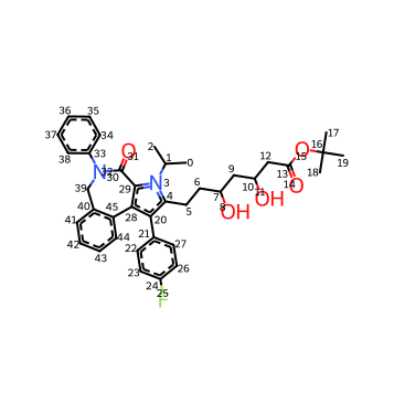 CC(C)n1c(CCC(O)CC(O)CC(=O)OC(C)(C)C)c(-c2ccc(F)cc2)c2c1C(=O)N(c1ccccc1)Cc1ccccc1-2